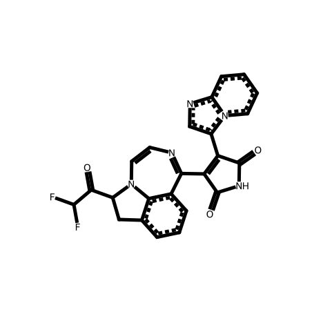 O=C1NC(=O)C(c2cnc3ccccn23)=C1C1=NC=CN2c3c(cccc31)CC2C(=O)C(F)F